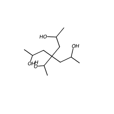 CC(O)CC(CC(C)O)(CC(C)O)C(C)O